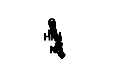 N#Cc1cc(-c2ccnc(Nc3ccc(N4CCOCC4)cn3)c2)ccc1OCC1CCC1